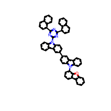 c1ccc2c(-c3nc(-c4cccc5ccccc45)nc(-n4c5ccccc5c5cc(-c6ccc7c(c6)c6ccccc6n7-c6cccc7c6oc6ccccc67)ccc54)n3)cccc2c1